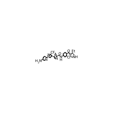 CC[C@H]1CNCCN1C(=O)c1ccc(NC(=O)c2ncc(-c3cn(-c4ccc(N)cn4)nc3C(F)(F)F)n2C)cc1Cl